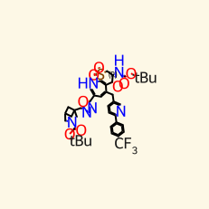 CC(C)(C)OC(=O)N[C@H]1CS(=O)(=O)C2=C(C1=O)C(Cc1ccc(-c3ccc(C(F)(F)F)cc3)nc1)=CC(c1nnc(C34CC(CN(C(=O)OC(C)(C)C)C3)C4)o1)=CN2